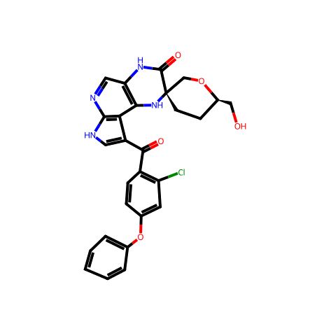 O=C(c1ccc(Oc2ccccc2)cc1Cl)c1c[nH]c2ncc3c(c12)N[C@]1(CC[C@H](CO)OC1)C(=O)N3